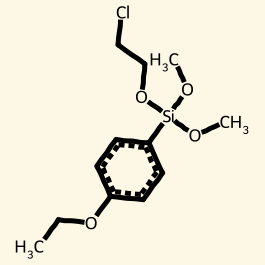 CCOc1ccc([Si](OC)(OC)OCCCl)cc1